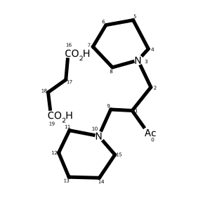 CC(=O)C(CN1CCCCC1)CN1CCCCC1.O=C(O)CCC(=O)O